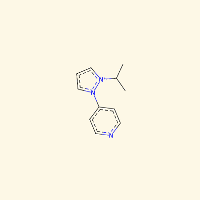 CC(C)[n+]1cccn1-c1ccncc1